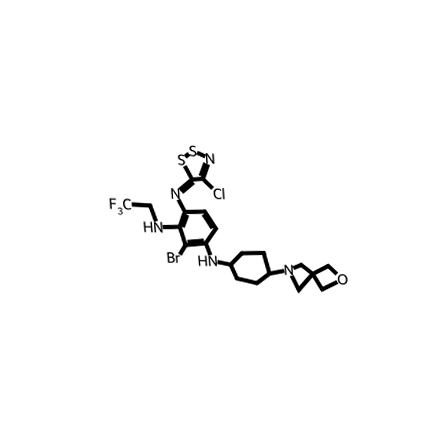 FC(F)(F)CNc1c(/N=c2/ssnc2Cl)ccc(NC2CCC(N3CC4(COC4)C3)CC2)c1Br